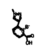 Cn1cc(-c2cccc(C(=O)O)[n+]2[O-])cn1